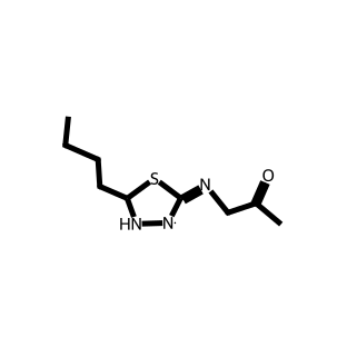 CCCCC1N[N]C(=NCC(C)=O)S1